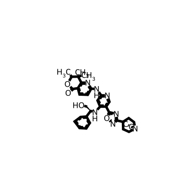 CC1OC(=O)c2ccc(Nc3cc(N[C@H](CO)c4ccccc4)c(-c4nc(C56CCN(CC5)CC6)no4)cn3)nc2C1(C)C